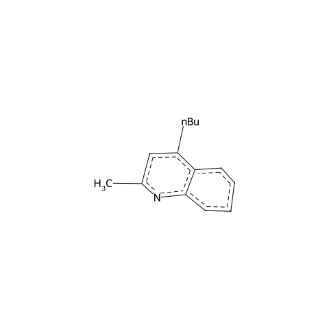 [CH2]CCCc1cc(C)nc2ccccc12